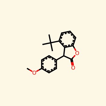 COc1ccc(C2C(=O)Oc3cccc(C(C)(C)C)c32)cc1